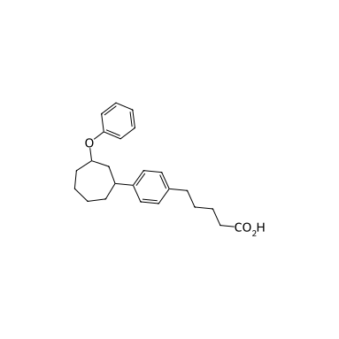 O=C(O)CCCCc1ccc(C2CCCCC(Oc3ccccc3)C2)cc1